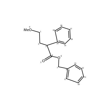 COCCC(C(=O)OCc1ccccc1)c1ccccc1